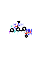 CC1(NS(=O)(=O)Nc2cccc(Cc3cc(C(=O)NC4CC4)c(Nc4ccc(I)cc4F)c(F)c3F)c2F)CCC1